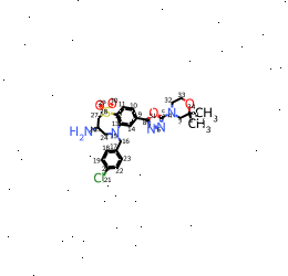 CC1(C)CN(c2nnc(-c3ccc4c(c3)N(Cc3ccc(Cl)cc3)C[C@@H](N)CS4(=O)=O)o2)CCO1